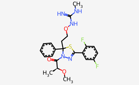 CNC(=N)NOCCC1(c2ccccc2)SC(c2cc(F)ccc2F)=NN1C(=O)[C@H](C)OC